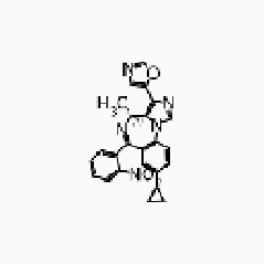 C[C@H]1N=C(c2ccccc2[N+](=O)[O-])c2cc(C3CC3)ccc2-n2cnc(-c3cnco3)c21